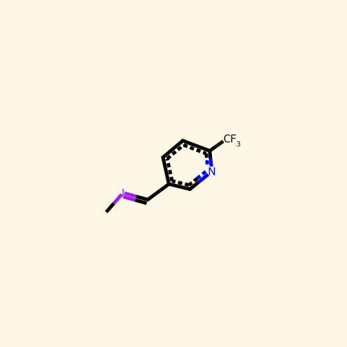 C/I=C/c1ccc(C(F)(F)F)nc1